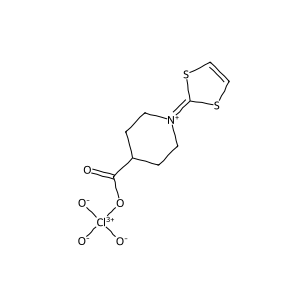 O=C(O[Cl+3]([O-])([O-])[O-])C1CC[N+](=c2sccs2)CC1